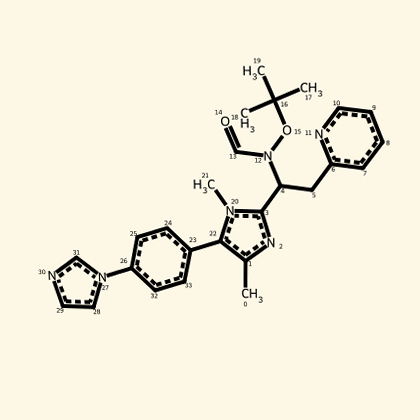 Cc1nc(C(Cc2ccccn2)N(C=O)OC(C)(C)C)n(C)c1-c1ccc(-n2ccnc2)cc1